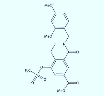 COC(=O)c1cc(OS(=O)(=O)C(F)(F)F)c2c(c1)C(=O)N(Cc1ccc(OC)cc1OC)CC2